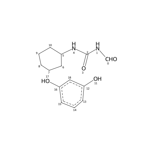 O=CNC(=O)NC1CCCCC1.Oc1cccc(O)c1